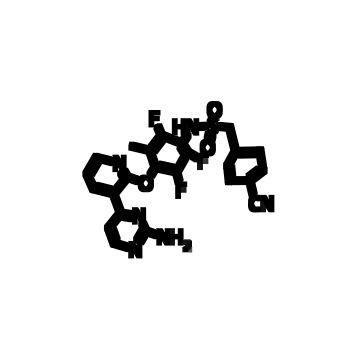 Cc1c(F)c(NS(=O)(=O)Cc2ccc(C#N)cc2)c(F)c(F)c1Oc1ncccc1-c1ccnc(N)n1